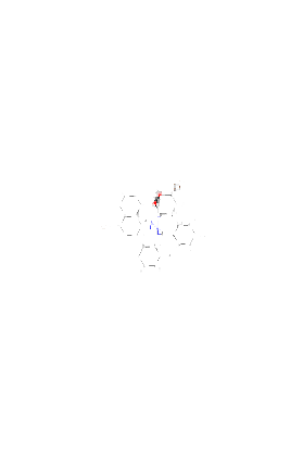 Brc1cc2c(c3ccccc13)N1B(c3ccccc3-2)c2ccccc2-c2cc(Br)c3ccccc3c21